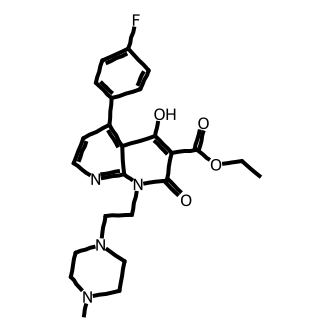 CCOC(=O)c1c(O)c2c(-c3ccc(F)cc3)ccnc2n(CCN2CCN(C)CC2)c1=O